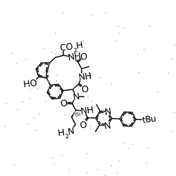 Cc1nc(-c2ccc(C(C)(C)C)cc2)nc(C)c1C(=O)N[C@@H](CCN)C(=O)N(C)C1C(=O)NC(C)C(=O)NC(C(=O)O)Cc2ccc(O)c(c2)-c2cccc1c2